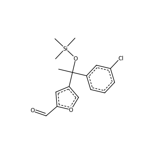 CC(O[Si](C)(C)C)(c1cccc(Cl)c1)c1coc(C=O)c1